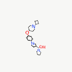 OC(c1ccn(-c2ccc(OC3CCN(C4CCC4)CC3)cc2)c1)N1CCCC1